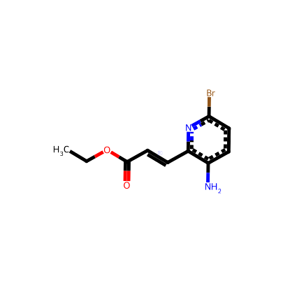 CCOC(=O)/C=C/c1nc(Br)ccc1N